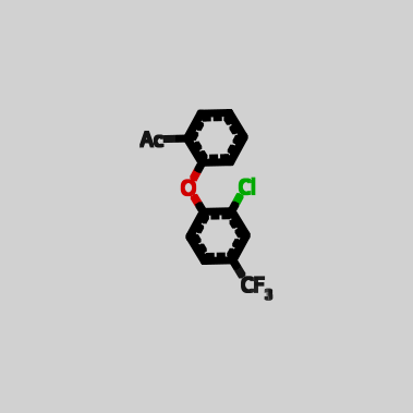 CC(=O)c1ccccc1Oc1ccc(C(F)(F)F)cc1Cl